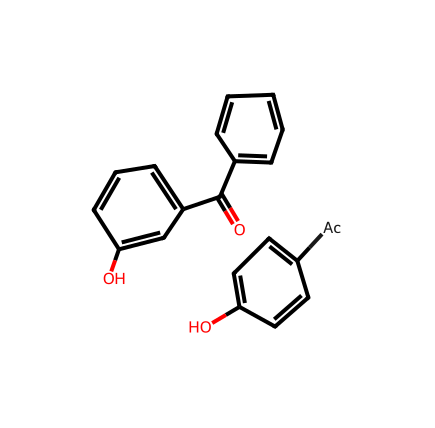 CC(=O)c1ccc(O)cc1.O=C(c1ccccc1)c1cccc(O)c1